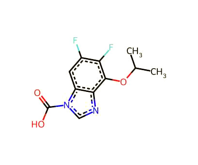 CC(C)Oc1c(F)c(F)cc2c1ncn2C(=O)O